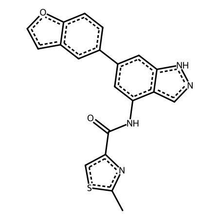 Cc1nc(C(=O)Nc2cc(-c3ccc4occc4c3)cc3[nH]ncc23)cs1